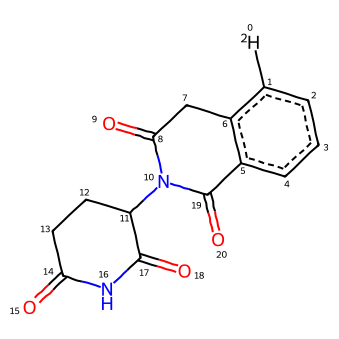 [2H]c1cccc2c1CC(=O)N(C1CCC(=O)NC1=O)C2=O